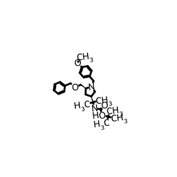 COc1ccc(CN2C[C@@H](C(C)(C)NC(=O)OC(C)(C)C)C[C@H]2COCc2ccccc2)cc1